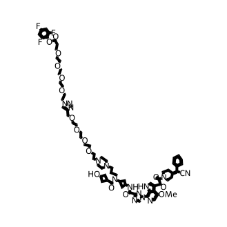 COc1cnc(-n2cnc(C(=O)NC3CC(N(CCCN4CCN(CCOCCOCCOCCOCc5cn(CCOCCOCCOCCOCCC(=O)Oc6c(F)cc(F)cc6F)nn5)CC4)C(=O)C4CC(O)C4)C3)n2)c2[nH]cc(C(=O)C(=O)N3CCC(=C(C#N)c4ccccc4)CC3)c12